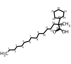 CCCCCCCCCCCCCCC(C)(C(=O)O)C1CCCCC1